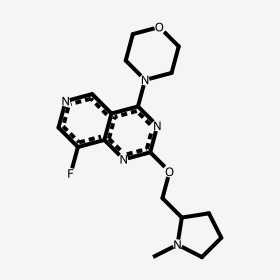 CN1CCCC1COc1nc(N2CCOCC2)c2cncc(F)c2n1